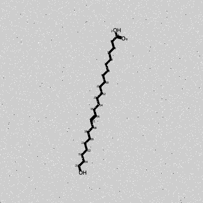 O=C(O)CCCCCCCCCCCCCC=CCCCCCCCCO